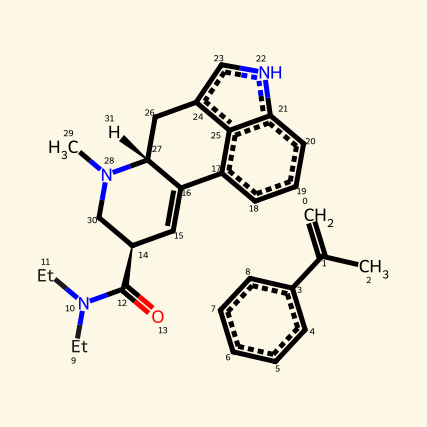 C=C(C)c1ccccc1.CCN(CC)C(=O)[C@@H]1C=C2c3cccc4[nH]cc(c34)C[C@H]2N(C)C1